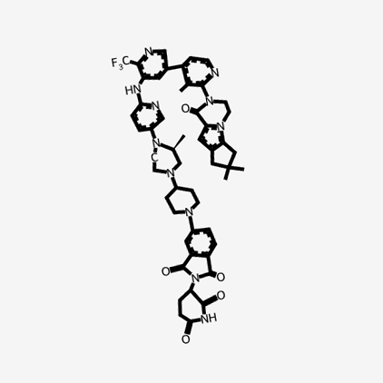 Cc1c(-c2cnc(C(F)(F)F)c(Nc3ccc(N4CCN(C5CCN(c6ccc7c(c6)C(=O)N(C6CCC(=O)NC6=O)C7=O)CC5)C[C@@H]4C)cn3)c2)ccnc1N1CCn2c(cc3c2CC(C)(C)C3)C1=O